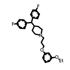 CCOc1cccc(OCCCN2CCC(C(c3ccc(F)cc3)c3ccc(F)cc3)CC2)c1